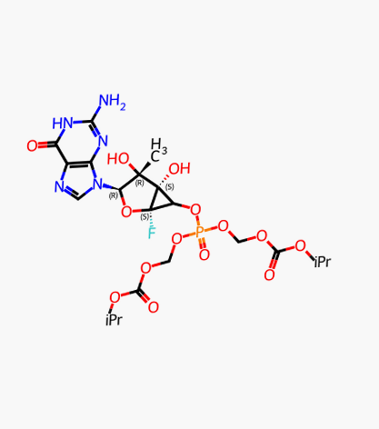 CC(C)OC(=O)OCOP(=O)(OCOC(=O)OC(C)C)OC1[C@]2(O)[C@@](C)(O)[C@H](n3cnc4c(=O)[nH]c(N)nc43)O[C@]12F